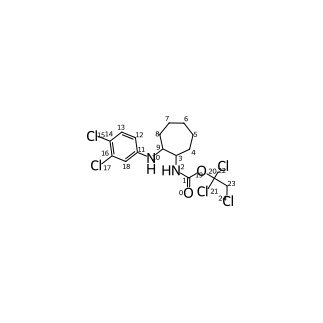 O=C(NC1CCCCCC1Nc1ccc(Cl)c(Cl)c1)OC(Cl)(Cl)CCl